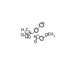 CCN(C(=O)NC=O)[C@@H](CN1Cc2cc(COC)ccc2C1=O)c1ccc(-c2ccncc2)cc1